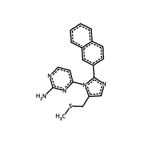 CSCc1cnc(-c2ccc3ccccc3c2)n1-c1ccnc(N)n1